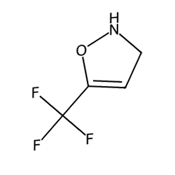 FC(F)(F)C1=CCNO1